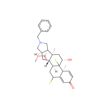 COC(=O)[C@@]12CN(Cc3ccccc3)C[C@@H]1C[C@H]1[C@@H]3C[C@H](F)C4=CC(=O)C=C[C@]4(C)[C@@]3(F)[C@@H](O)C[C@@]12C